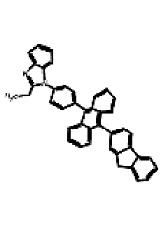 CCc1nc2ccccc2n1-c1ccc(-c2c3ccccc3c(-c3ccc4c(c3)Cc3ccccc3-4)c3ccccc23)cc1